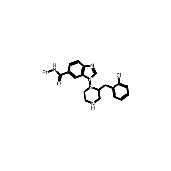 CCNC(=O)c1ccc2ncn(N3CCNCC3Cc3ccccc3Cl)c2c1